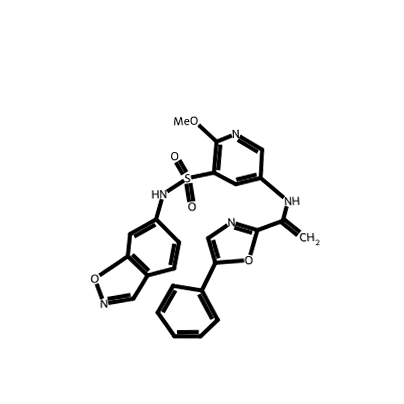 C=C(Nc1cnc(OC)c(S(=O)(=O)Nc2ccc3cnoc3c2)c1)c1ncc(-c2ccccc2)o1